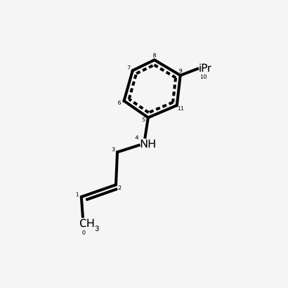 CC=CCNc1cccc(C(C)C)c1